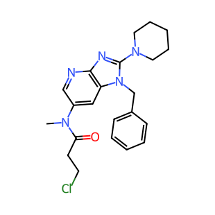 CN(C(=O)CCCl)c1cnc2nc(N3CCCCC3)n(Cc3ccccc3)c2c1